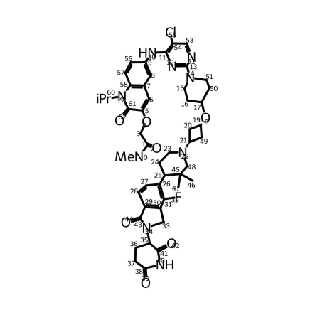 CNC(=O)COc1cc2cc(Nc3nc(N4CCC(O[C@H]5C[C@H](N6CCC(c7ccc8c(c7F)CN(C7CCC(=O)NC7=O)C8=O)C(C)(C)C6)C5)CC4)ncc3Cl)ccc2n(C(C)C)c1=O